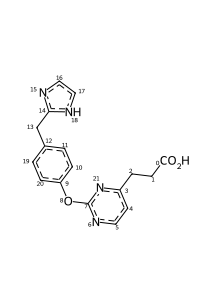 O=C(O)CCc1ccnc(Oc2ccc(Cc3ncc[nH]3)cc2)n1